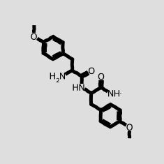 COc1ccc(CC(N)C(=O)NC(Cc2ccc(OC)cc2)C([NH])=O)cc1